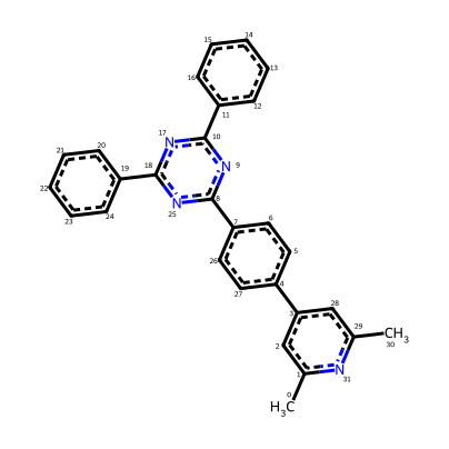 Cc1cc(-c2ccc(-c3nc(-c4ccccc4)nc(-c4ccccc4)n3)cc2)cc(C)n1